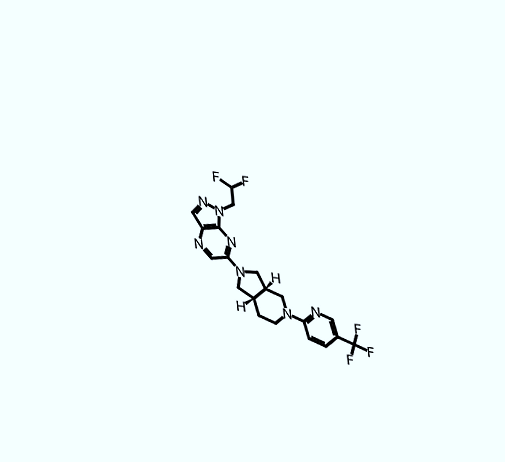 FC(F)Cn1ncc2ncc(N3C[C@H]4CCN(c5ccc(C(F)(F)F)cn5)C[C@H]4C3)nc21